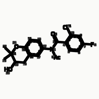 CC(=O)N(C(=O)c1ccc(F)cc1Cl)c1ccc2c(c1)CC(O)C(C)(C)O2